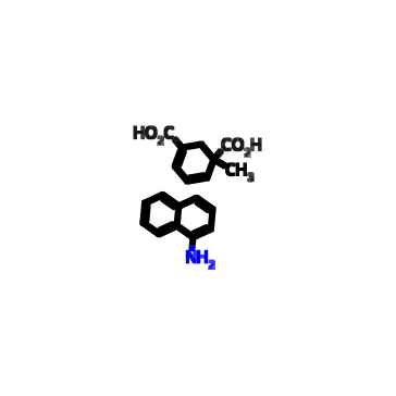 CC1(C(=O)O)C=CC=C(C(=O)O)C1.Nc1cccc2ccccc12